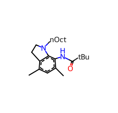 CCCCCCCCN1CCc2c(C)cc(C)c(NC(=O)C(C)(C)C)c21